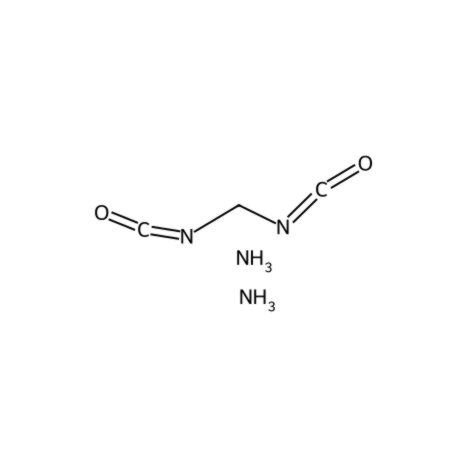 N.N.O=C=NCN=C=O